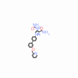 NC(=O)Nc1cn(-c2ccc(-c3cccc(OCc4ccccn4)c3)cc2)nc1C(N)=O